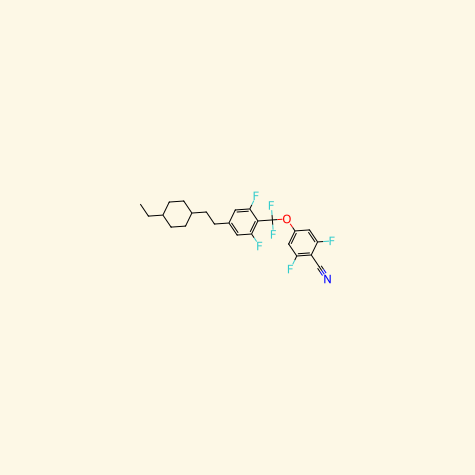 CCC1CCC(CCc2cc(F)c(C(F)(F)Oc3cc(F)c(C#N)c(F)c3)c(F)c2)CC1